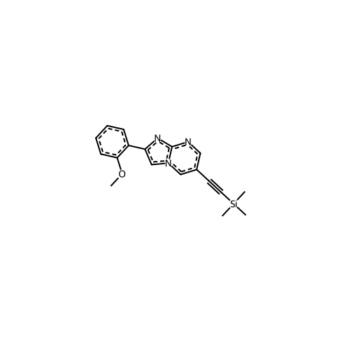 COc1ccccc1-c1cn2cc(C#C[Si](C)(C)C)cnc2n1